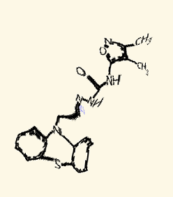 Cc1noc(NC(=O)N/N=C/CN2c3ccccc3Sc3ccccc32)c1C